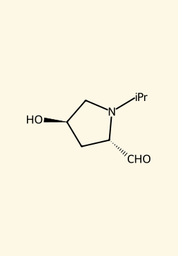 CC(C)N1C[C@H](O)C[C@H]1C=O